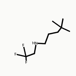 CC(C)(C)CCCNCC(F)(F)F